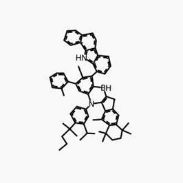 CCCC(C)(C)c1ccc(N2C3=C(Bc4c2cc(-c2ccccc2C)c(C)c4-c2cccc4c2[nH]c2c5ccccc5ccc42)Cc2cc4c(c(C)c23)C(C)(C)CCC4(C)C)cc1C(C)C